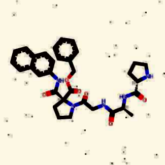 C[C@H](NC(=O)[C@@H]1CCCN1)C(=O)NCC(=O)N1CCC[C@]1(C(=O)Nc1ccc2ccccc2c1)C(=O)OCc1ccccc1